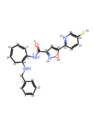 O=C(NC1=C(NCc2ccccc2)CC=CC=C1)c1cc(-c2ccc(F)cn2)on1